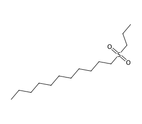 CCCCCCCCCCCS(=O)(=O)CCC